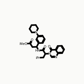 COC(=O)CC(NC(=O)C(CC(C)C)n1cnc2ccccc2c1=O)c1cccc(N2CCCCC2)c1